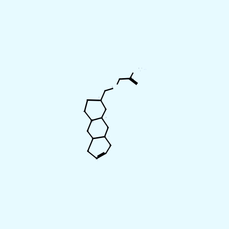 COC(=O)CSCC1CCC2CC3CC=CCC3CC2C1